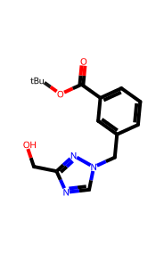 CC(C)(C)OC(=O)c1cccc(Cn2cnc(CO)n2)c1